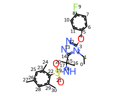 CCn1c(Oc2ccc(F)cc2)nnc1C(C)(C)NS(=O)(=O)c1c(C)cc(C)cc1C